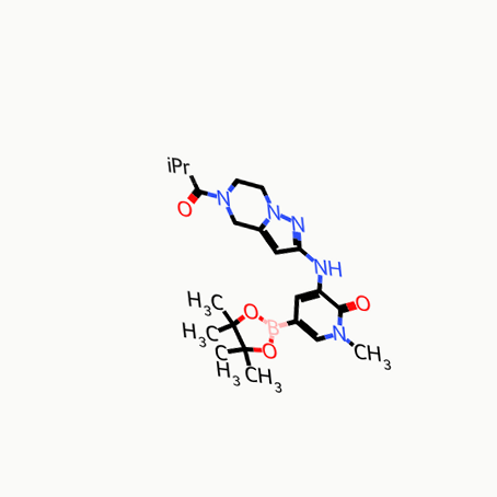 CC(C)C(=O)N1CCn2nc(Nc3cc(B4OC(C)(C)C(C)(C)O4)cn(C)c3=O)cc2C1